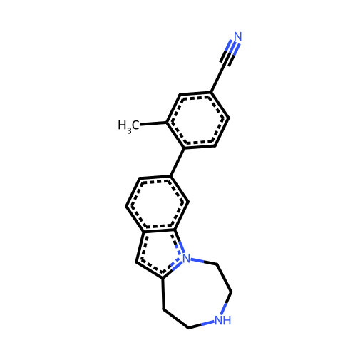 Cc1cc(C#N)ccc1-c1ccc2cc3n(c2c1)CCNCC3